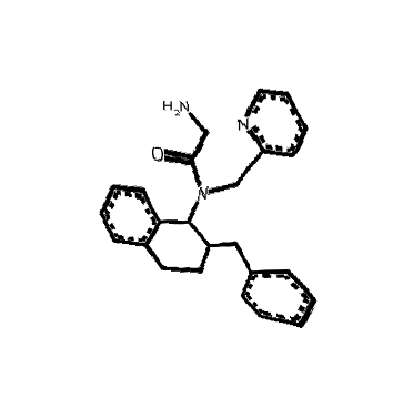 NCC(=O)N(Cc1ccccn1)C1c2ccccc2CCC1Cc1ccccc1